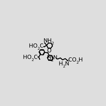 CC(C(=O)O)c1cccc(C(=O)c2ccccc2)c1.NCC1(CC(=O)O)CCCCC1.NCCCC[C@H](N)C(=O)O